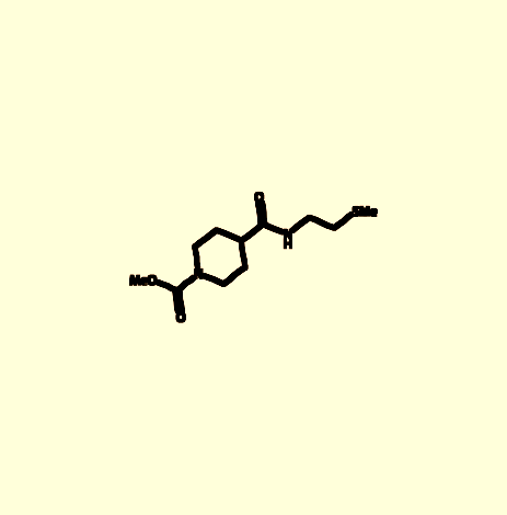 COC(=O)N1CCC(C(=O)NCCSC)CC1